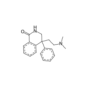 CN(C)CCC1(c2ccccc2)CNC(=O)c2ccccc21